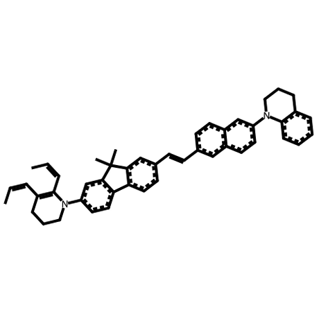 C/C=C\C1=C(/C=C\C)N(c2ccc3c(c2)C(C)(C)c2cc(/C=C/c4ccc5cc(N6CCCc7ccccc76)ccc5c4)ccc2-3)CCC1